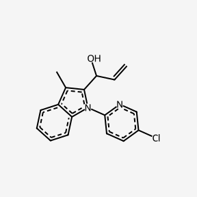 C=CC(O)c1c(C)c2ccccc2n1-c1ccc(Cl)cn1